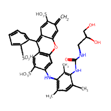 C=c1cc2c(cc1S(=O)(=O)O)=C(c1ccccc1S(=O)(=O)O)c1cc(S(=O)(=O)O)c(Nc3c(C)cc(C)c(NC(=O)NCC(O)CO)c3C)cc1O2